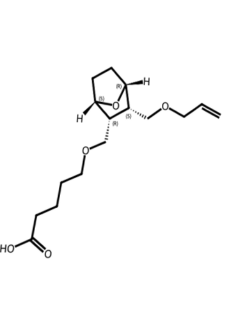 C=CCOC[C@@H]1[C@H](COCCCCC(=O)O)[C@@H]2CC[C@H]1O2